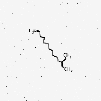 C=CCCCCCCCCC/C(=C/C)CC